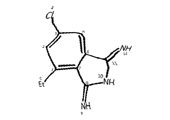 CCc1cc(Cl)cc2c1C(=N)NC2=N